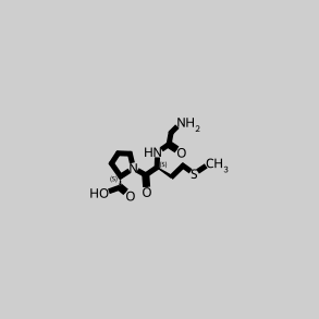 CSCC[C@H](NC(=O)CN)C(=O)N1CCC[C@H]1C(=O)O